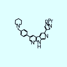 CCCn1cc(-c2cc3c(cn2)[nH]c2ncc(-c4ccc(CN5CCCCC5)cc4)cc23)cn1